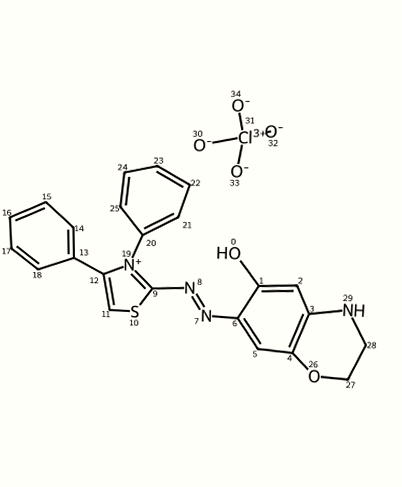 Oc1cc2c(cc1N=Nc1scc(-c3ccccc3)[n+]1-c1ccccc1)OCCN2.[O-][Cl+3]([O-])([O-])[O-]